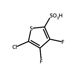 O=S(=O)(O)c1sc(Cl)c(F)c1F